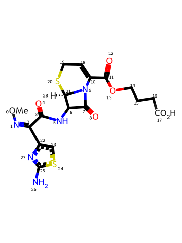 CO/N=C(\C(=O)NC1C(=O)N2C(C(=O)OCCCC(=O)O)=CCS[C@H]12)c1csc(N)n1